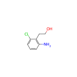 Nc1cccc(Cl)c1CCO